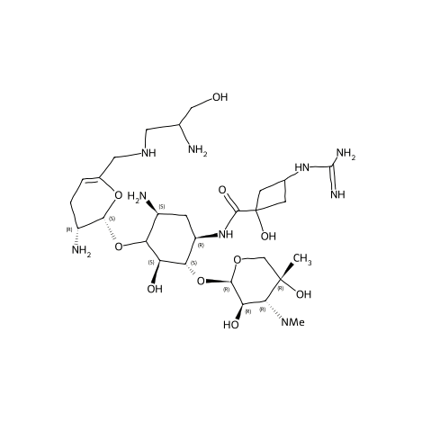 CN[C@@H]1[C@@H](O)[C@@H](O[C@H]2[C@H](NC(=O)C3(O)CC(NC(=N)N)C3)C[C@H](N)C(O[C@H]3OC(CNCC(N)CO)=CC[C@H]3N)[C@@H]2O)OC[C@]1(C)O